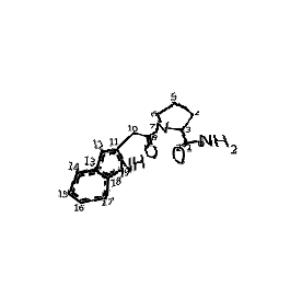 NC(=O)C1CCCN1C(=O)Cc1cc2ccccc2[nH]1